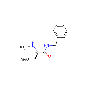 COC[C@@H](NC(=O)O)C(=O)NCc1ccccc1